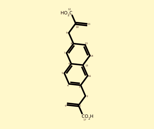 C=C(Cc1ccc2cc(CC(=C)C(=O)O)ccc2c1)C(=O)O